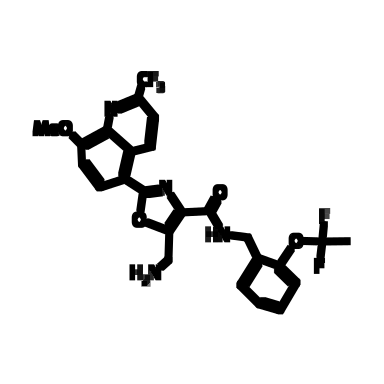 COc1ccc(-c2nc(C(=O)NCc3ccccc3OC(C)(F)F)c(CN)o2)c2ccc(C(F)(F)F)nc12